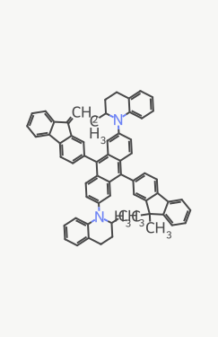 C=C1c2ccccc2-c2ccc(-c3c4ccc(N5c6ccccc6CCC5C)cc4c(-c4ccc5c(c4)C(C)(C)c4ccccc4-5)c4ccc(N5c6ccccc6CCC5C)cc34)cc21